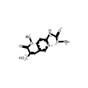 CCC(C)OC(=O)C(=Cc1ccc(NC(=O)OC(C)(C)C)nc1)C(=O)O